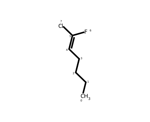 CCCC/C=C(\F)Cl